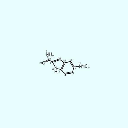 [C-]#[N+]c1ccc2[nH]c(C(N)=O)cc2c1